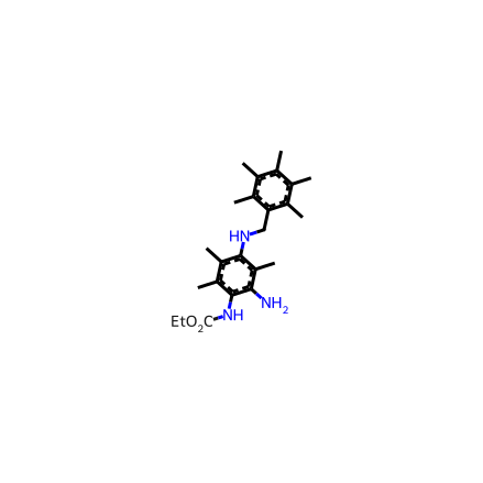 CCOC(=O)Nc1c(C)c(C)c(NCc2c(C)c(C)c(C)c(C)c2C)c(C)c1N